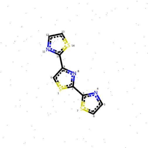 [c]1sc(-c2nccs2)nc1-c1nccs1